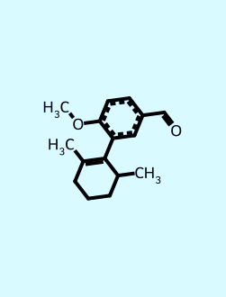 COc1ccc(C=O)cc1C1=C(C)CCCC1C